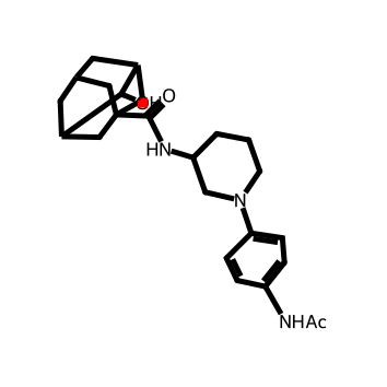 CC(=O)Nc1ccc(N2CCCC(NC(=O)C34CC5CC(C3)C(O)C(C5)C4)C2)cc1